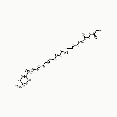 CCC(=O)CCC(=O)OCCOCCOCCOCCOCCOCCOC(=O)N1CCC(SC)CC1